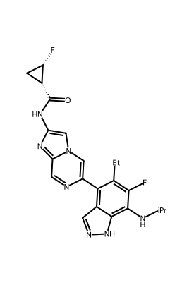 CCc1c(F)c(NC(C)C)c2[nH]ncc2c1-c1cn2cc(NC(=O)[C@@H]3C[C@@H]3F)nc2cn1